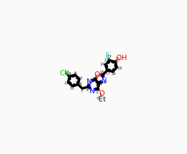 CCOc1nc(Cc2ccc(Cl)cc2)nc2oc(-c3ccc(O)c(F)c3)nc12